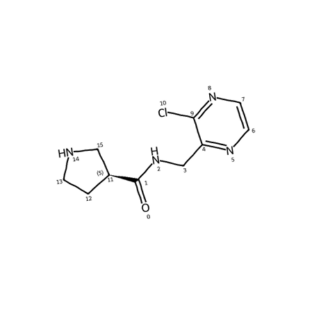 O=C(NCc1nccnc1Cl)[C@H]1CCNC1